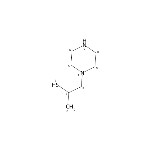 CC(S)CN1CCNCC1